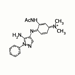 CC(=O)NC1=CC(=[N+](C)C)C=CC1=Nc1cnn(-c2ccccc2)c1N